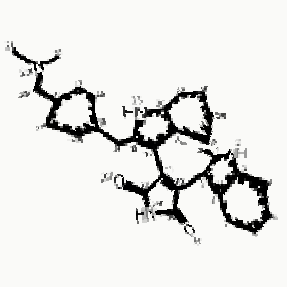 Cc1[nH]c2ccccc2c1C1=C(c2c(Cc3ccc(CN(C)C)cc3)[nH]c3ccccc23)C(=O)NC1=O